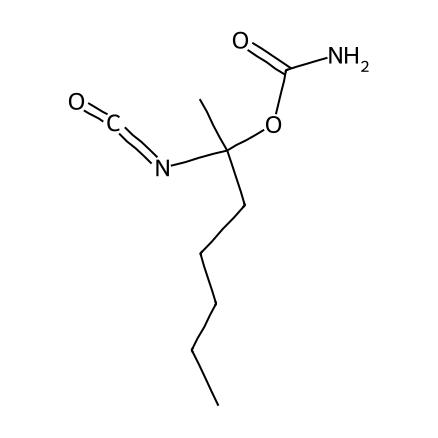 CCCCCC(C)(N=C=O)OC(N)=O